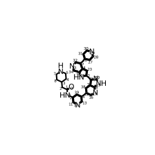 O=C(CC1CCNCC1)Nc1cncc(-c2cnc3[nH]nc(-c4cc5c(-c6ccncc6)cncc5[nH]4)c3c2)c1